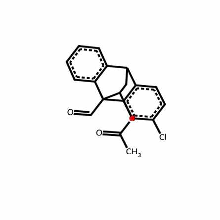 CC(=O)OC1CC2c3ccccc3C1(C=O)c1cc(Cl)ccc12